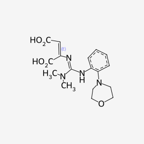 CN(C)C(=N/C(=C/C(=O)O)C(=O)O)Nc1ccccc1N1CCOCC1